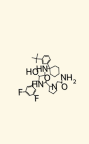 CC(C)(C)c1cccc(C2(NCC(O)C(Cc3cc(F)cc(F)c3)NC(=O)C3CCCN3CC(N)=O)CCCCC2)c1